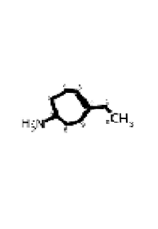 CCC1=CCCC(N)CC1